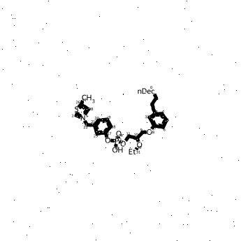 CCCCCCCCCCCCc1cccc(OCC(COP(=O)(O)Oc2cccc(C[n+]3csc(C)c3)c2)OCC)c1